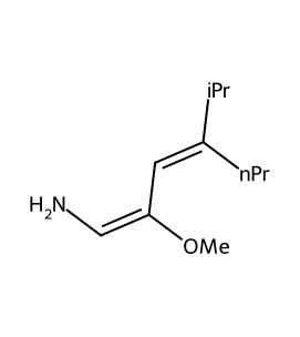 CCC/C(=C\C(=C/N)OC)C(C)C